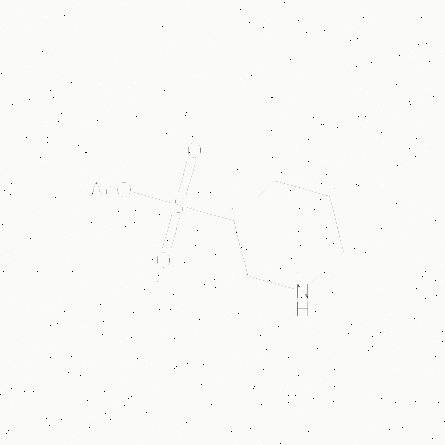 CC(=O)OS(=O)(=O)C1CCCNC1